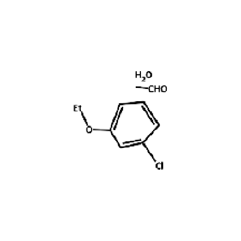 CC=O.CCOc1cccc(Cl)c1.O